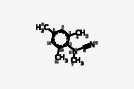 Cc1cc(C)c(N(C)C#N)c(C)c1